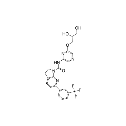 O=C(Nc1cncc(OCC(O)CO)n1)N1CCc2ccc(-c3cccc(C(F)(F)F)c3)nc21